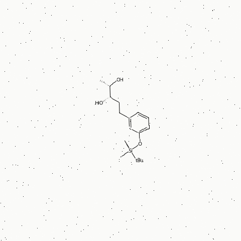 C[C@H](O)[C@@H](O)CCc1cccc(O[Si](C)(C)C(C)(C)C)c1